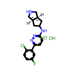 Cl.Cl.Fc1ccc(Cl)c(-c2ccc(NC3C[C@H]4CNC[C@H]4C3)nn2)c1